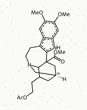 COC(=O)C12C[C@H]3CC(CCOC(C)=O)C1N(CCc1c2[nH]c2cc(OC)c(OC)cc12)C3